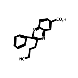 N#CCCCc1nc2cc(C(=O)O)ccc2nc1-c1ccccc1